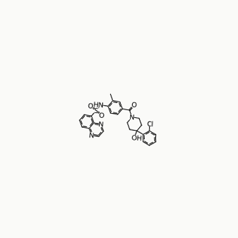 Cc1cc(C(=O)N2CCC(O)(c3ccccc3Cl)CC2)ccc1NS(=O)(=O)c1cccc2nccnc12